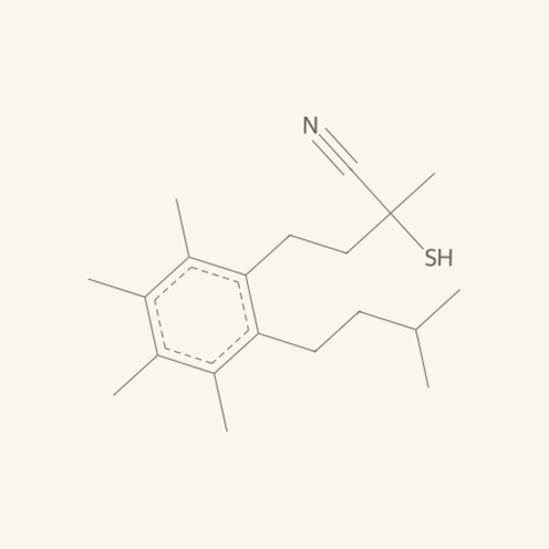 Cc1c(C)c(C)c(CCC(C)(S)C#N)c(CCC(C)C)c1C